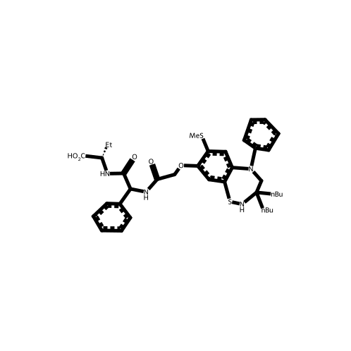 CCCCC1(CCCC)CN(c2ccccc2)c2cc(SC)c(OCC(=O)NC(C(=O)N[C@@H](CC)C(=O)O)c3ccccc3)cc2SN1